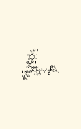 CC(C)[C@H](NC(=O)CCCC(=O)N(C)C)C(=O)N[C@@H](CCNC(=O)OC(C)(C)C)C(=O)Nc1ccc(CO)cc1